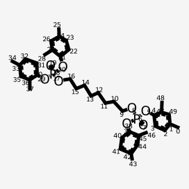 Cc1ccc(OP(=O)(OCCCCCCCCOP(=O)(Oc2ccc(C)cc2C)Oc2ccc(C)cc2C)Oc2ccc(C)cc2C)c(C)c1